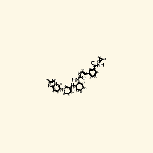 Cc1nc2ccc(N3CCC[C@H](N[C@@H]4CCCC[C@H]4Nc4ncc(-c5cccc(C(=O)NC6CC6)c5)o4)C3)cn2n1